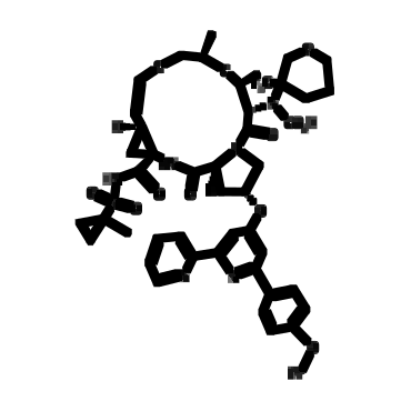 CC(C)Oc1ccc(-c2cc(O[C@@H]3C[C@H]4C(=O)N[C@]5(C(=O)NS(=O)(=O)C6(C)CC6)C[C@H]5/C=C\CC[C@@H](C)C[C@@H](C)[C@H](N(C(=O)O)C5(C(F)(F)F)CCCOC5)C(=O)N4C3)cc(-c3ccccn3)n2)cc1